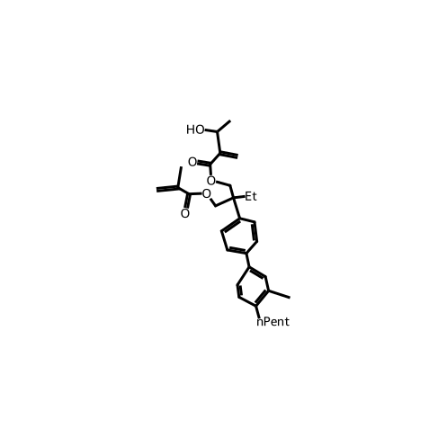 C=C(C)C(=O)OCC(CC)(COC(=O)C(=C)C(C)O)c1ccc(-c2ccc(CCCCC)c(C)c2)cc1